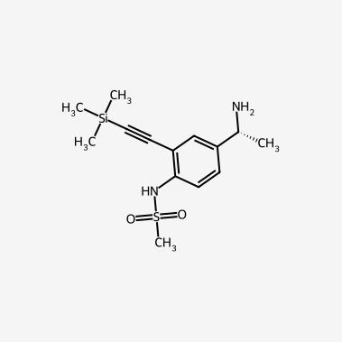 C[C@@H](N)c1ccc(NS(C)(=O)=O)c(C#C[Si](C)(C)C)c1